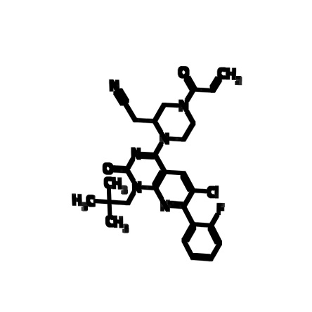 C=CC(=O)N1CCN(c2nc(=O)n(CC(C)(C)C)c3nc(-c4ccccc4F)c(Cl)cc23)C(CC#N)C1